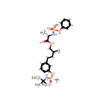 CCOC(=O)C(C)(C)N[P@](=O)(Oc1cccc(CCC(CC)COC(=O)[C@H](C)N[P@](=O)(Oc2ccccc2)C(C)C)c1)C(C)C